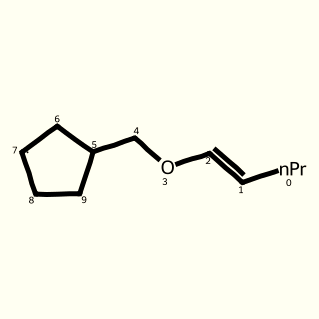 CCCC=COCC1C[CH]CC1